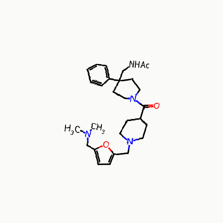 CC(=O)NCC1(c2ccccc2)CCN(C(=O)C2CCN(Cc3ccc(CN(C)C)o3)CC2)CC1